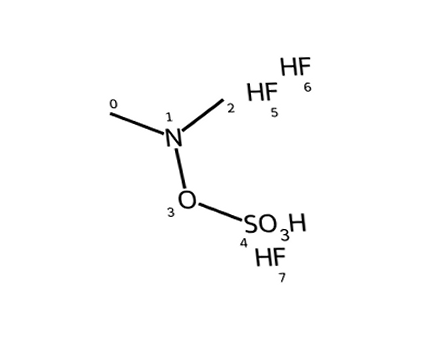 CN(C)OS(=O)(=O)O.F.F.F